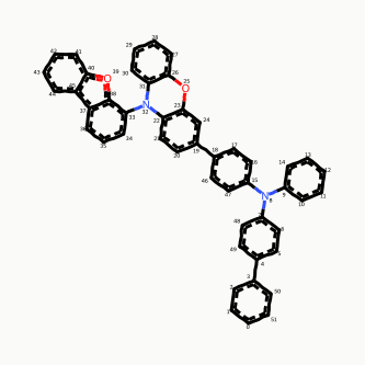 c1ccc(-c2ccc(N(c3ccccc3)c3ccc(-c4ccc5c(c4)Oc4ccccc4N5c4cccc5c4oc4ccccc45)cc3)cc2)cc1